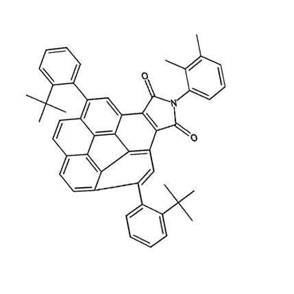 Cc1cccc(-n2c(=O)c3c4cc(-c5ccccc5C(C)(C)C)c5ccc6ccc7c(-c8ccccc8C(C)(C)C)cc(c3c2=O)c2c7c6c5c42)c1C